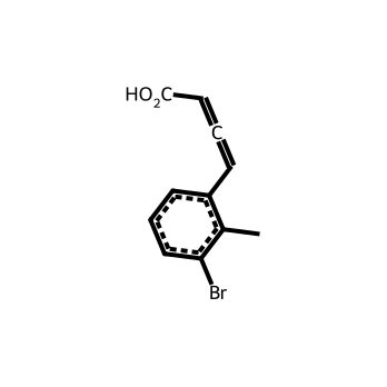 Cc1c(Br)cccc1C=C=CC(=O)O